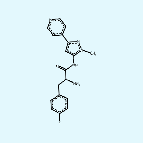 Cn1nc(-c2ccncc2)cc1NC(=O)[C@@H](N)Cc1ccc(F)cc1